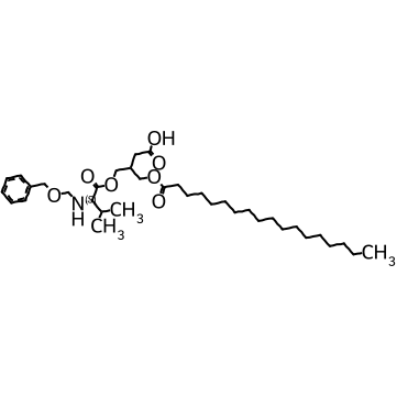 CCCCCCCCCCCCCCCCCC(=O)OCC(COC(=O)[C@@H](NCOCc1ccccc1)C(C)C)CC(=O)O